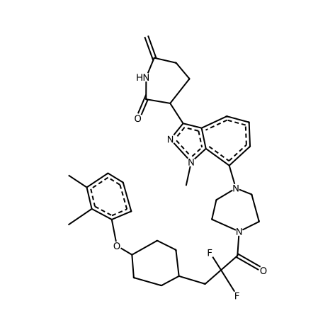 C=C1CCC(c2nn(C)c3c(N4CCN(C(=O)C(F)(F)CC5CCC(Oc6cccc(C)c6C)CC5)CC4)cccc23)C(=O)N1